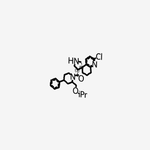 CC(C)OCC1CC(c2ccccc2)CCN1C(=O)[C@@H]1CNC[C@]12CCCc1nc(Cl)ccc12